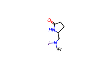 CC(C)N(I)C[C@@H]1CCC(=O)N1